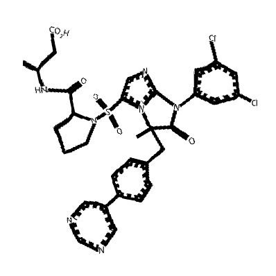 CC(CC(=O)O)NC(=O)C1CCCN1S(=O)(=O)c1cnc2n1C(C)(Cc1ccc(-c3cncnc3)cc1)C(=O)N2c1cc(Cl)cc(Cl)c1